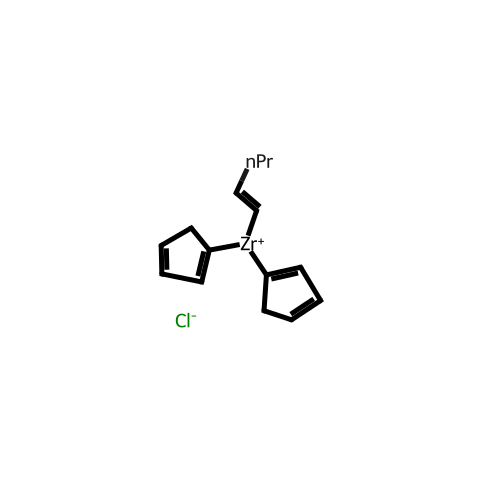 CCC/C=[CH]/[Zr+]([C]1=CC=CC1)[C]1=CC=CC1.[Cl-]